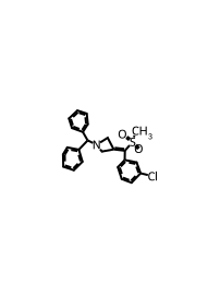 CS(=O)(=O)C(=C1CN(C(c2ccccc2)c2ccccc2)C1)c1cccc(Cl)c1